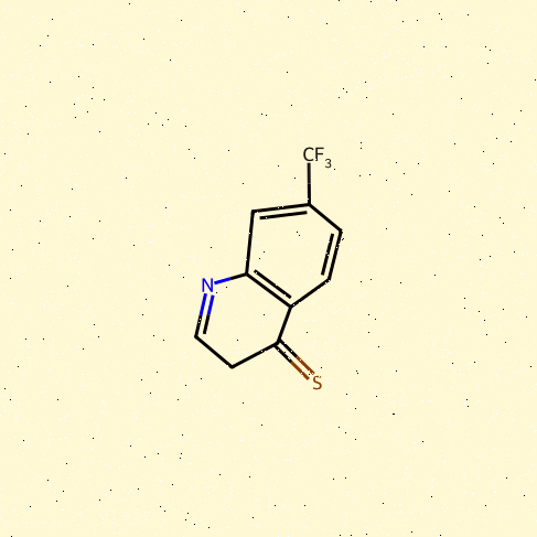 FC(F)(F)c1ccc2c(c1)N=CCC2=S